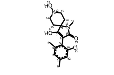 Cc1cc(C)c(C2=C(O)C3(CCN(O)CC3)N(C)C2=O)c(Cl)c1